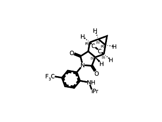 CC(C)Nc1ccc(C(F)(F)F)cc1N1C(=O)C2[C@@H](C1=O)[C@H]1CC[C@@H]2[C@H]2C[C@@H]12